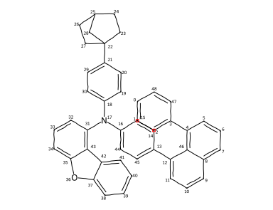 c1ccc(-c2cccc3cccc(-c4ccc(N(c5ccc(C67CCC(CC6)C7)cc5)c5cccc6oc7ccccc7c56)cc4)c23)cc1